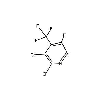 FC(F)(F)c1c(Cl)[c]nc(Cl)c1Cl